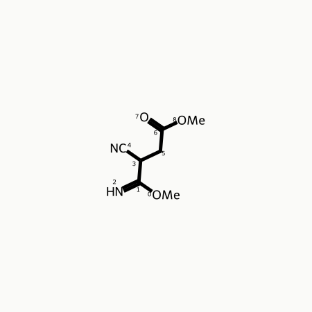 COC(=N)C(C#N)CC(=O)OC